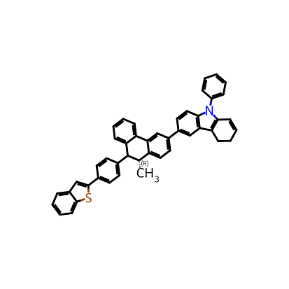 C[C@H]1c2ccc(-c3ccc4c(c3)c3c(n4-c4ccccc4)C=CCC3)cc2-c2ccccc2C1c1ccc(-c2cc3ccccc3s2)cc1